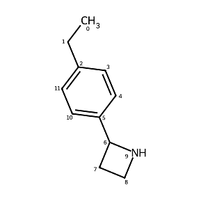 CCc1ccc(C2CCN2)cc1